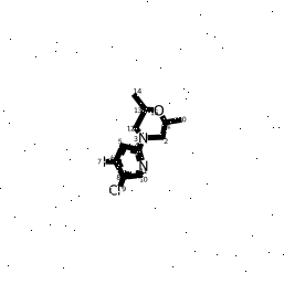 CC1CN(c2cc(I)c(Cl)cn2)CC(C)O1